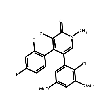 COc1cc(OC)c(Cl)c(-c2cn(C)c(=O)c(Cl)c2-c2ccc(F)cc2F)c1